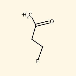 [CH2]C(=O)CCF